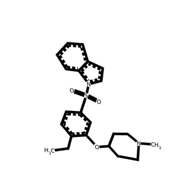 CCc1ccc(S(=O)(=O)n2ccc3ccccc32)cc1OC1CCN(C)CC1